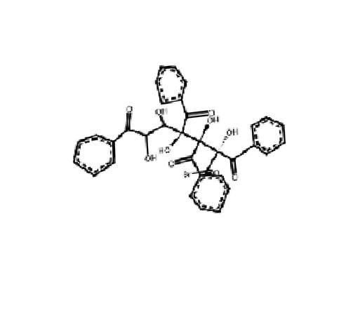 O=C(c1ccccc1)C(O)[C@@H](O)[C@](O)(C(=O)c1ccccc1)[C@@](O)(C(=O)c1ccccc1)[C@](O)(C(=O)Br)C(=O)c1ccccc1